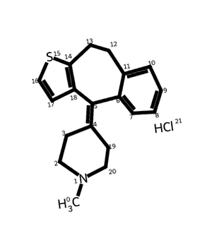 CN1CCC(=C2c3ccccc3CCc3sccc32)CC1.Cl